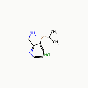 CC(C)Sc1cccnc1CN.Cl